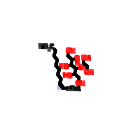 CCCCCCCC/C=C\CCCCCCCC(=O)O.OCC(O)C(O)C(O)C(O)CO.OCCO